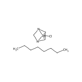 C[CH]CCCCCC.[Cl][Zn]1[N]2C=C[N]1C2